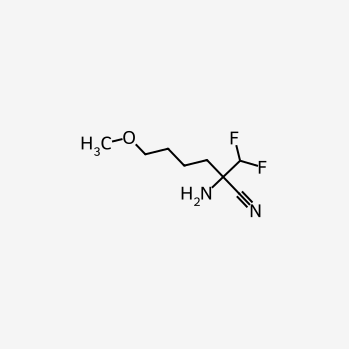 COCCCCC(N)(C#N)C(F)F